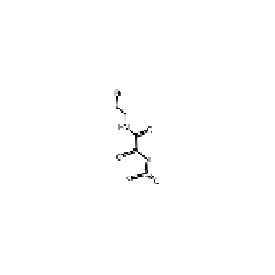 O=C(N=S(=O)=O)C(=O)NCCBr